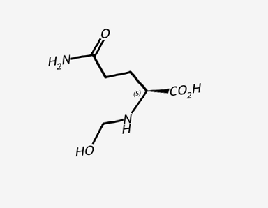 NC(=O)CC[C@H](NCO)C(=O)O